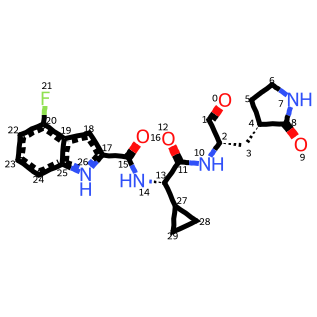 O=C[C@H](C[C@@H]1CCNC1=O)NC(=O)[C@@H](NC(=O)c1cc2c(F)cccc2[nH]1)C1CC1